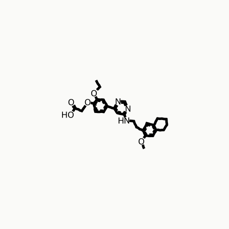 CCOc1cc(-c2cc(NCCc3cc4c(cc3OC)CCCC4)ncn2)ccc1OCC(=O)O